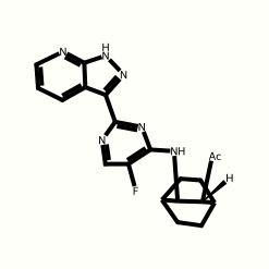 CC(=O)[C@@H]1C2CCC(CC2)C1Nc1nc(-c2n[nH]c3ncccc23)ncc1F